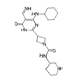 N=Cc1c(NC2CCCCC2)nc(C2CN(C(=O)NC3CCCNC3)C2)[nH]c1=O